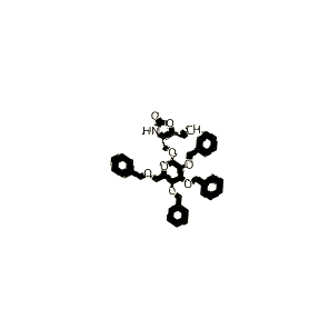 C=C[C@@H]1OC(=O)N[C@H]1CO[C@H]1OC(COCc2ccccc2)[C@H](OCc2ccccc2)C(OCc2ccccc2)[C@@H]1OCc1ccccc1